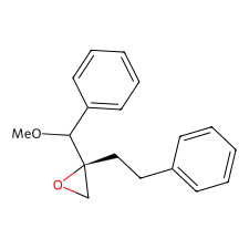 COC(c1ccccc1)[C@]1(CCc2ccccc2)CO1